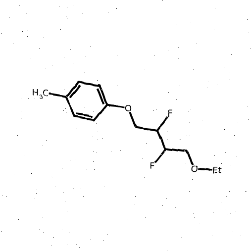 CCOCC(F)C(F)COc1ccc(C)cc1